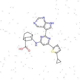 O=C(O)C1C2CCC(CC2)C1Nc1cc(-c2ccc(C3CC3)s2)nc(-c2c[nH]c3ncncc23)n1